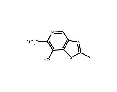 CCOC(=O)c1ncc2nc(C)sc2c1O